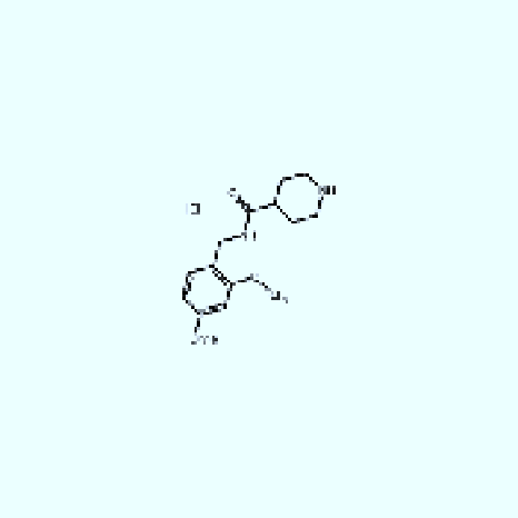 COc1ccc(CNC(=O)C2CCNCC2)c(OC(F)(F)F)c1.Cl